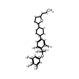 CCCC1CCC(C2CCC(c3cc(F)c(C(F)(F)Oc4cc(F)c(F)c(F)c4)c(F)c3)CC2)O1